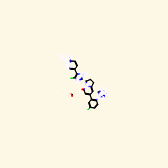 Nc1ccc(-c2[nH]c([C@H]3CCc4cc(-c5cc(Cl)ccc5-n5cnnn5)cc(=O)n43)nc2Cl)cn1.O=CO